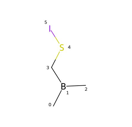 CB(C)CSI